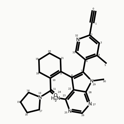 C#Cc1cc(C)c(-c2c(C3=C(C(=O)N4CCCC4)CCCC3)c3c(N)ncnc3n2C)cn1